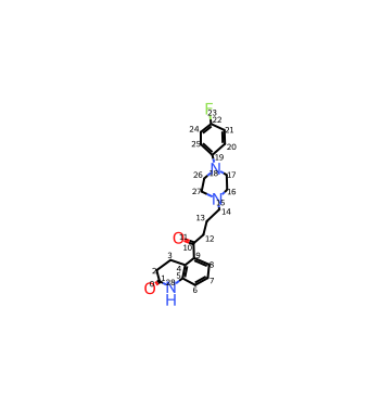 O=C1CCc2c(cccc2C(=O)CCCN2CCN(c3ccc(F)cc3)CC2)N1